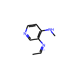 C/C=N\c1cnccc1NC